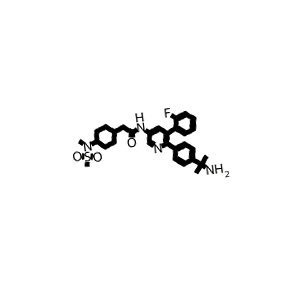 CN(C1CCC(CC(=O)Nc2cnc(-c3ccc(C(C)(C)N)cc3)c(-c3ccccc3F)c2)CC1)S(C)(=O)=O